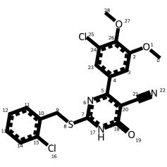 COc1cc(-c2nc(SCc3ccccc3Cl)[nH]c(=O)c2C#N)cc(Cl)c1OC